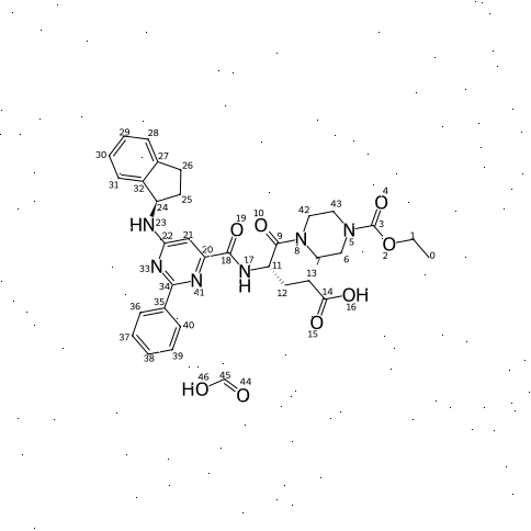 CCOC(=O)N1CCN(C(=O)[C@H](CCC(=O)O)NC(=O)c2cc(N[C@@H]3CCc4ccccc43)nc(-c3ccccc3)n2)CC1.O=CO